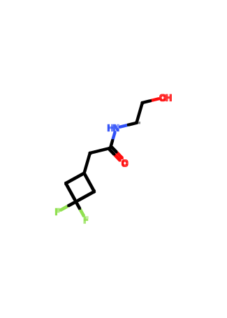 O=C(CC1CC(F)(F)C1)N[CH]CO